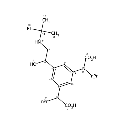 CCCN(C(=O)O)c1cc(C(O)CNC(C)(C)CC)cc(N(CCC)C(=O)O)c1